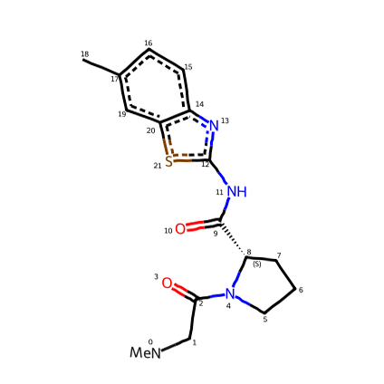 CNCC(=O)N1CCC[C@H]1C(=O)Nc1nc2ccc(C)cc2s1